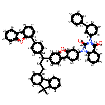 CC1(C)c2ccccc2-c2c(CCC(c3ccc(-c4cccc5c4oc4ccccc45)cc3)c3ccc4c(c3)oc3cc(-n5c(=O)n(-c6cccc(-c7ccccc7)c6)c(=O)c6ccccc65)ccc34)cccc21